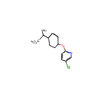 CC(C)(C)C(C(=O)O)C1CCC(Oc2ccc(Br)cn2)CC1